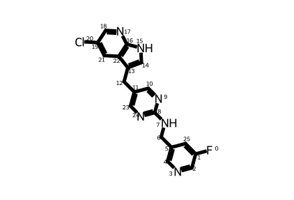 Fc1cncc(CNc2ncc(Cc3c[nH]c4ncc(Cl)cc34)cn2)c1